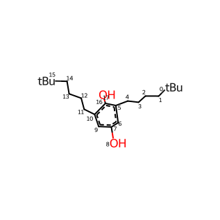 CC(C)(C)CCCCc1cc(O)cc(CCCCC(C)(C)C)c1O